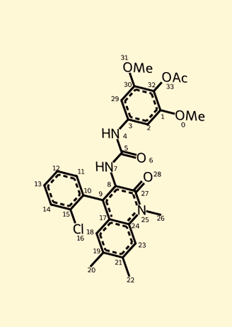 COc1cc(NC(=O)Nc2c(-c3ccccc3Cl)c3cc(C)c(C)cc3n(C)c2=O)cc(OC)c1OC(C)=O